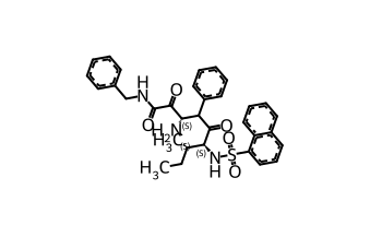 CC[C@H](C)[C@H](NS(=O)(=O)c1cccc2ccccc12)C(=O)C(c1ccccc1)[C@H](N)C(=O)C(=O)NCc1ccccc1